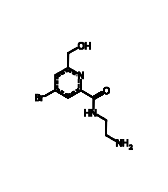 NCCNC(=O)c1cc(Br)cc(CO)n1